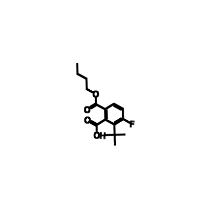 CCCCOC(=O)c1ccc(F)c(C(C)(C)C)c1C(=O)O